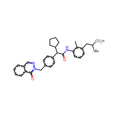 Cc1c(CC(C(=O)O)C(C)(C)C)cccc1NC(=O)C(c1ccc(Cn2ncc3ccccc3c2=O)cc1)C1CCCC1